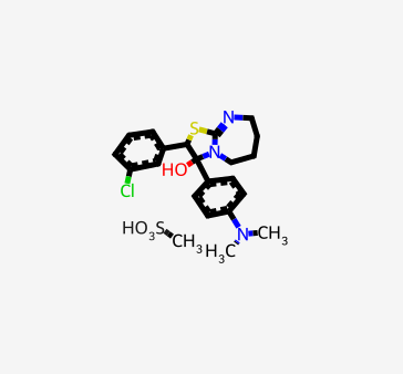 CN(C)c1ccc(C2(O)C(c3cccc(Cl)c3)SC3=NCCCCN32)cc1.CS(=O)(=O)O